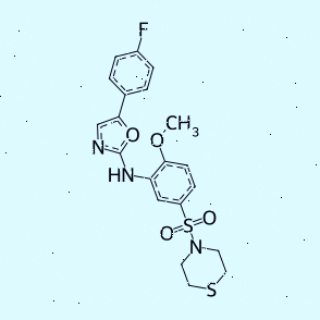 COc1ccc(S(=O)(=O)N2CCSCC2)cc1Nc1ncc(-c2ccc(F)cc2)o1